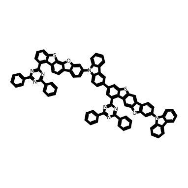 c1ccc(-c2nc(-c3ccccc3)nc(-c3cc(-c4ccc5c(c4)c4ccccc4n5-c4ccc5c(c4)oc4c5ccc5c4sc4cccc(-c6nc(-c7ccccc7)nc(-c7ccccc7)n6)c45)cc4sc5cc6c(cc5c34)oc3cc(-n4c5ccccc5c5ccccc54)ccc36)n2)cc1